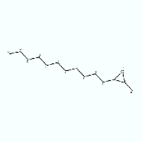 [CH2]C1OC1CCCCCCCCCCC